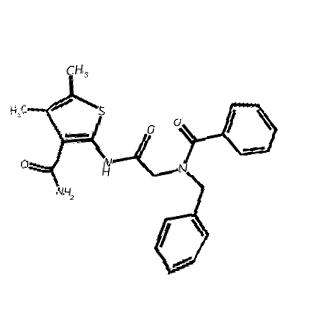 Cc1sc(NC(=O)CN(Cc2ccccc2)C(=O)c2ccccc2)c(C(N)=O)c1C